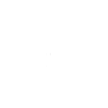 Cc1ccc(OC(C)Pc2ccccc2)cc1